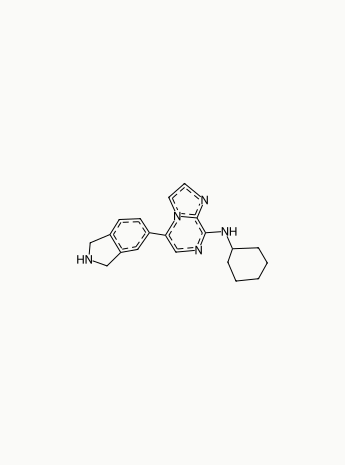 c1cn2c(-c3ccc4c(c3)CNC4)cnc(NC3CCCCC3)c2n1